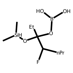 CCCC(F)C(CC)(OB(O)O)O[SiH](C)C